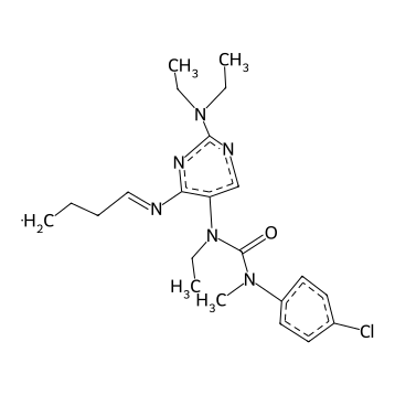 [CH2]CCC=Nc1nc(N(CC)CC)ncc1N(CC)C(=O)N(C)c1ccc(Cl)cc1